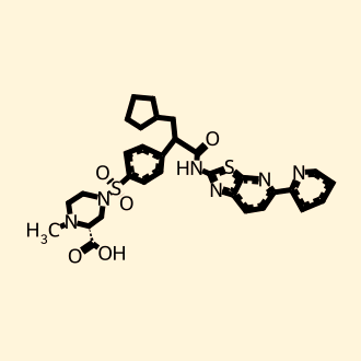 CN1CCN(S(=O)(=O)c2ccc(C(CC3CCCC3)C(=O)Nc3nc4ccc(-c5ccccn5)nc4s3)cc2)C[C@@H]1C(=O)O